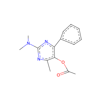 CC(=O)Oc1c(C)nc(N(C)C)nc1-c1ccccc1